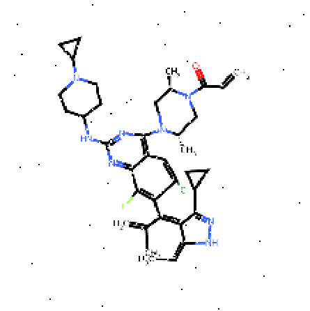 C=CC(=O)N1C[C@H](C)N(c2nc(NC3CCN(C4CC4)CC3)nc3c(F)c(/C(C(=C)C)=c4\c(C5CC5)n[nH]\c4=C\C)c(Cl)cc23)C[C@H]1C